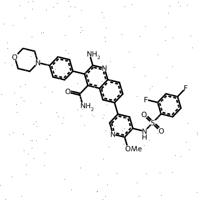 COc1ncc(-c2ccc3nc(N)c(-c4ccc(N5CCOCC5)cc4)c(C(N)=O)c3c2)cc1NS(=O)(=O)c1ccc(F)cc1F